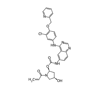 C=CC(=O)N1C[C@H](O)C[C@@H]1OC(=O)Nc1ccc2ncnc(Nc3ccc(OCc4ccccn4)c(Cl)c3)c2c1